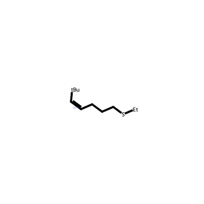 CCSCCC/C=C\C(C)(C)C